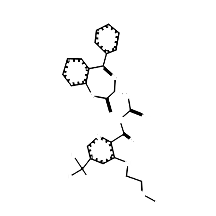 COCCNc1cc(C(F)(F)F)cnc1C(=N)OC(=N)N[C@H]1N=C(c2ccccc2)c2ccccc2NC1=O